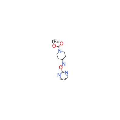 CC(C)(C)OC(=O)N1CCC(=NOc2ncccn2)CC1